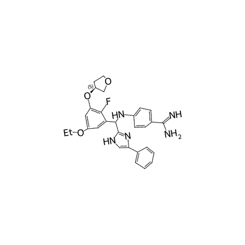 CCOc1cc(O[C@H]2CCOC2)c(F)c(C(Nc2ccc(C(=N)N)cc2)c2nc(-c3ccccc3)c[nH]2)c1